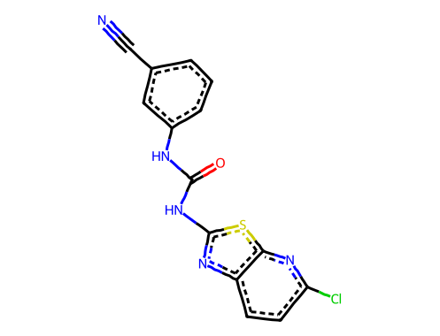 N#Cc1cccc(NC(=O)Nc2nc3ccc(Cl)nc3s2)c1